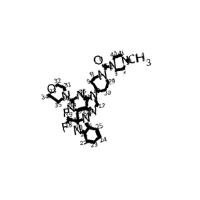 CN1CCN(C(=O)N2CCC(n3cnc4c(C5(C(F)F)N=c6ccccc6=N5)nc(N5CCOCC5)nc43)CC2)CC1